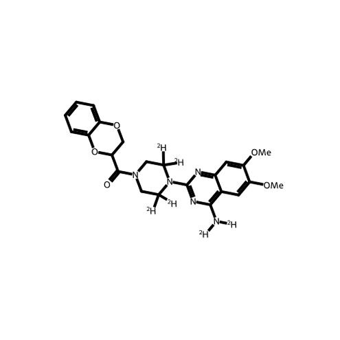 [2H]N([2H])c1nc(N2C([2H])([2H])CN(C(=O)C3COc4ccccc4O3)CC2([2H])[2H])nc2cc(OC)c(OC)cc12